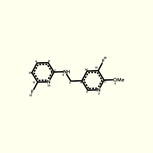 COc1ncc(CNc2cccc(F)n2)cc1F